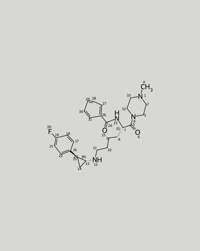 CN1CCN(C(=O)[C@H](CCCCN[C@@H]2C[C@H]2c2ccc(F)cc2)NC(=O)c2ccccc2)CC1